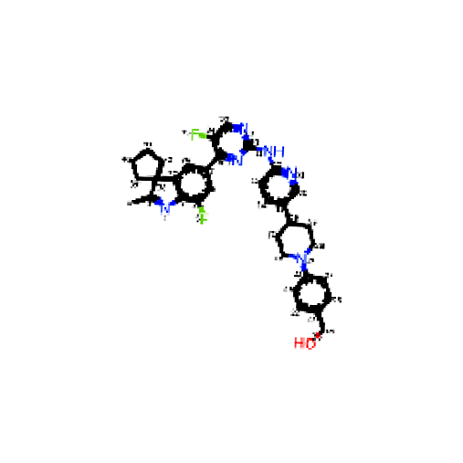 CC1=Nc2c(F)cc(-c3nc(Nc4ccc(C5CCN(c6ccc(CO)cc6)CC5)cn4)ncc3F)cc2C12CCCC2